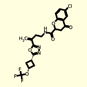 C=C(CCNC(=O)C1CC(=O)c2cc(Cl)ccc2O1)c1nnc([C@H]2C[C@@H](OC(F)(F)F)C2)o1